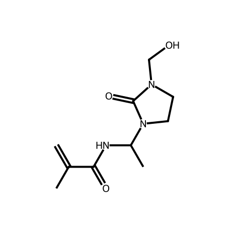 C=C(C)C(=O)NC(C)N1CCN(CO)C1=O